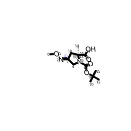 CO/N=C1/CN(C(=O)OC(C)(C)C)[C@](C)(C(=O)O)C1